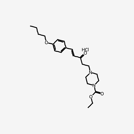 CCCCOc1ccc(C=CC(=O)CCN2CCN(C(=O)OCC)CC2)cc1.Cl